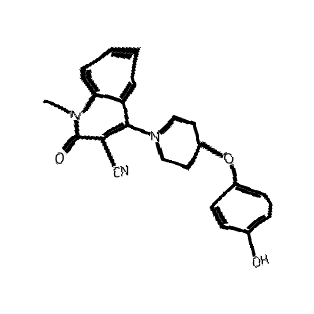 Cn1c(=O)c(C#N)c(N2CCC(Oc3ccc(O)cc3)CC2)c2ccccc21